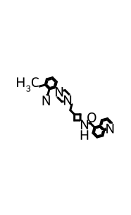 CCc1cccc(N2CCN(CCC3CC(NC(=O)c4cccc5ncccc45)C3)CC2)c1C#N